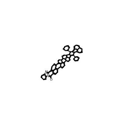 O=c1c2ccc3c4ccc5c6ccc7c8c(-c9ccccc9)c9c%10cccc%11cccc(c9c(-c9ccccc9)c8c8ccc(c9ccc(c%12ccc(c2c3%12)c2nc3ccccc3n12)c4c59)c6c78)c%11%10